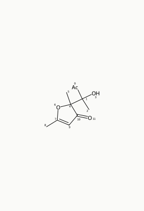 CC(=O)C(C)(O)C1(C)OC(C)=CC1=O